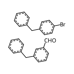 Brc1ccc(Cc2ccccc2)cc1.O=Cc1cccc(Cc2ccccc2)c1